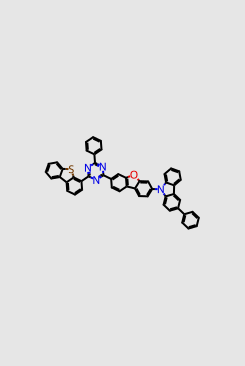 c1ccc(-c2ccc3c(c2)c2ccccc2n3-c2ccc3c(c2)oc2cc(-c4nc(-c5ccccc5)nc(-c5cccc6c5sc5ccccc56)n4)ccc23)cc1